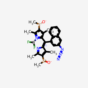 CC1=N/C(=C(/c2cc(N=[N+]=[N-])cc3ccccc23)c2c(C)c([S+](C)[O-])c(C)n2B(F)F)C(C)=C1[S+](C)[O-]